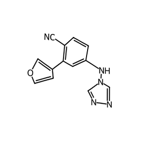 N#Cc1ccc(Nn2cnnc2)cc1-c1ccoc1